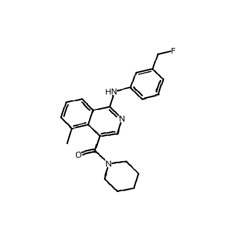 Cc1cccc2c(Nc3cccc(CF)c3)ncc(C(=O)N3CCCCC3)c12